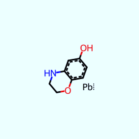 Oc1ccc2c(c1)NCCO2.[Pb]